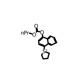 CCCOC(=O)Oc1ccc([S+]2CCCC2)c2ccccc12